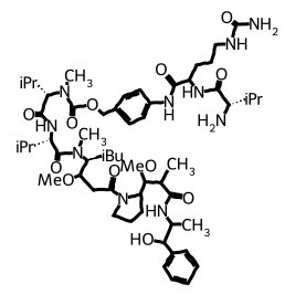 CCC(C)[C@@H](C(CC(=O)N1CCCC1C(OC)C(C)C(=O)NC(C)C(O)c1ccccc1)OC)N(C)C(=O)[C@@H](NC(=O)[C@H](C(C)C)N(C)C(=O)OCc1ccc(NC(=O)C(CCCNC(N)=O)NC(=O)[C@@H](N)C(C)C)cc1)C(C)C